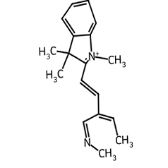 C/C=C(\C=N/C)/C=C/C1=[N+](C)c2ccccc2C1(C)C